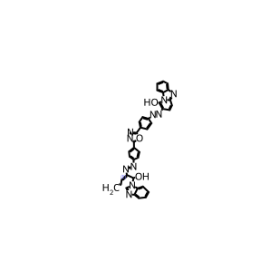 C=C/C=C(/N=Nc1ccc(-c2nnc(-c3ccc(N=Nc4ccc5nc6ccccc6n5c4O)cc3)o2)cc1)C(O)n1cnc2ccccc21